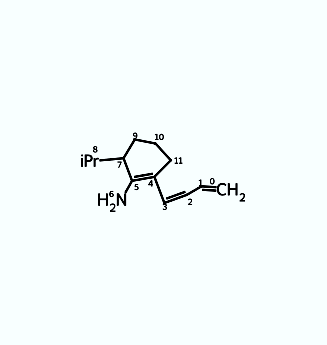 C=C/C=C\C1=C(N)C(C(C)C)CCC1